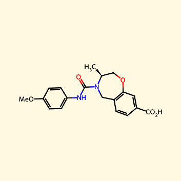 COc1ccc(NC(=O)N2Cc3ccc(C(=O)O)cc3OC[C@@H]2C)cc1